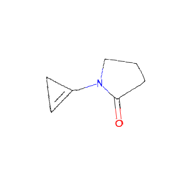 O=C1CCCN1C1=CC1